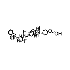 OCCO[C@H]1CC[C@H](CN[C@@H]2[C@@H]3CC4C[C@H]2C[C@@](CNc2nc(NCc5ccccc5Cl)ncc2F)(C4)C3)CC1